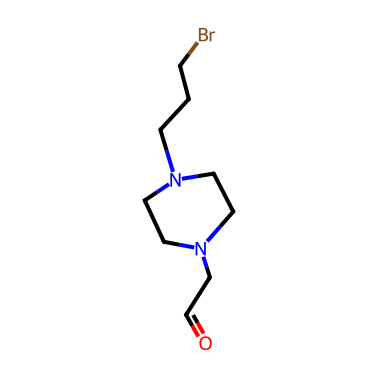 O=CCN1CCN(CCCBr)CC1